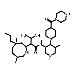 CCC[C@@]1(C)CCC(F)CNC(C(C(=O)NC2CNCC(C)C2N2CCC(C(=O)N3CCNCC3)CC2)C(N)N)C1